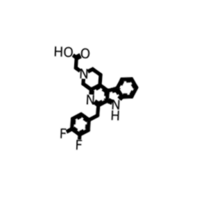 O=C(O)CN1CCc2c(nc(Cc3ccc(F)c(F)c3)c3[nH]c4ccccc4c23)C1